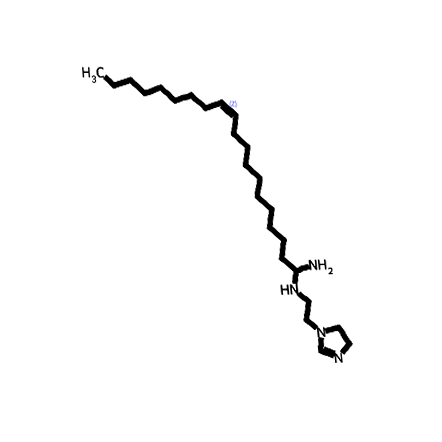 CCCCCCCC/C=C\CCCCCCCCCC(N)NCCN1C=NCC1